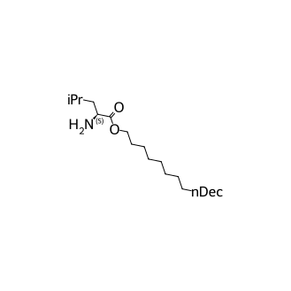 CCCCCCCCCCCCCCCCCCOC(=O)[C@@H](N)CC(C)C